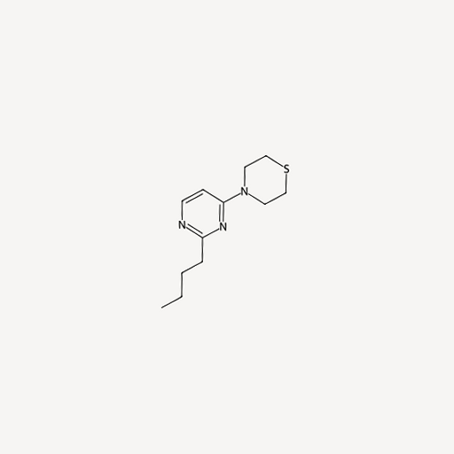 CCCCc1nccc(N2CCSCC2)n1